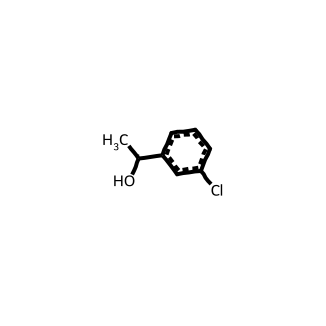 C[C](O)c1cccc(Cl)c1